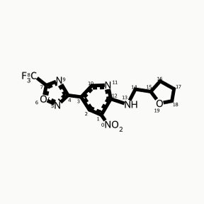 O=[N+]([O-])c1cc(-c2noc(C(F)(F)F)n2)cnc1NCC1CCCO1